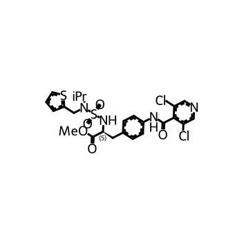 COC(=O)[C@H](Cc1ccc(NC(=O)c2c(Cl)cncc2Cl)cc1)NS(=O)(=O)N(Cc1cccs1)C(C)C